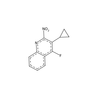 O=[N+]([O-])c1nc2ccccc2c(F)c1C1CC1